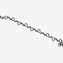 COCCOCCOCCOCCOCCOCCCOCCOCCOS(C)(=O)=O